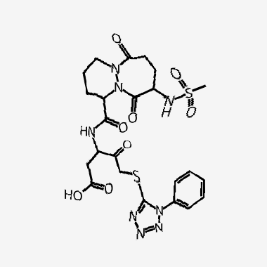 CS(=O)(=O)NC1CCC(=O)N2CCCC(C(=O)NC(CC(=O)O)C(=O)CSc3nnnn3-c3ccccc3)N2C1=O